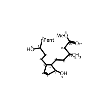 CCCCCC(O)CCC1C=CC(O)C1CCC(C)CC(=O)OC